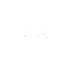 C[C@]12Cc3cnn(-c4ccc(F)cc4)c3C=C1CC[C@@H]2CN(CCO)S(=O)(=O)c1ccccc1Cl